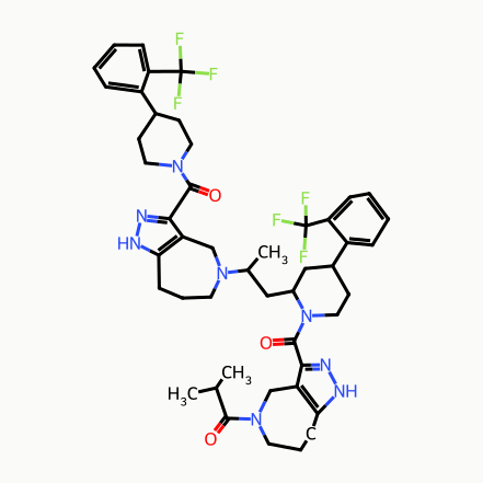 CC(C)C(=O)N1CCCc2[nH]nc(C(=O)N3CCC(c4ccccc4C(F)(F)F)CC3CC(C)N3CCCc4[nH]nc(C(=O)N5CCC(c6ccccc6C(F)(F)F)CC5)c4C3)c2C1